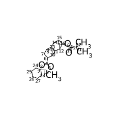 CCC1(OC(=O)C2CC3CC2C2C4CC(CC4OC(=O)C(C)C)C32)CCCCC1